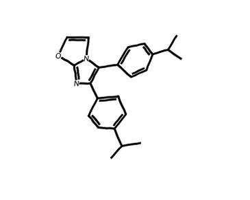 CC(C)c1ccc(-c2nc3occn3c2-c2ccc(C(C)C)cc2)cc1